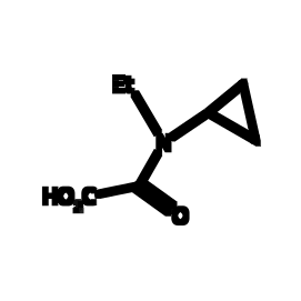 CCN(C(=O)C(=O)O)C1CC1